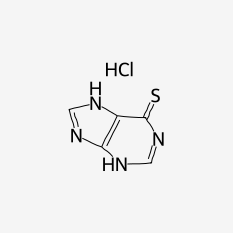 Cl.S=c1nc[nH]c2nc[nH]c12